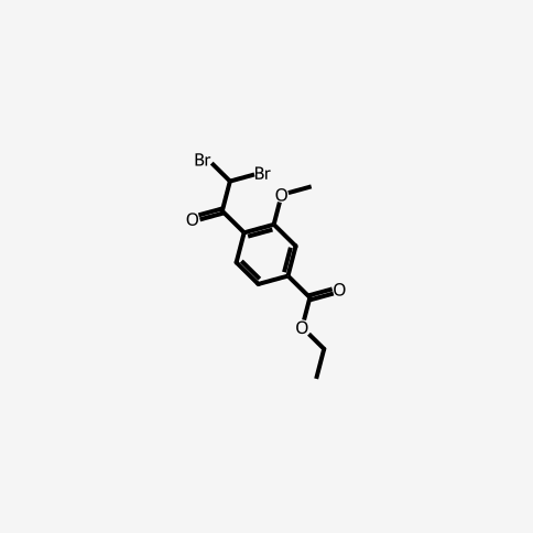 CCOC(=O)c1ccc(C(=O)C(Br)Br)c(OC)c1